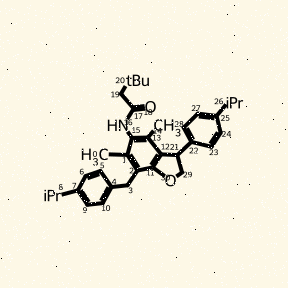 Cc1c(Cc2ccc(C(C)C)cc2)c2c(c(C)c1NC(=O)CC(C)(C)C)C(c1ccc(C(C)C)cc1)CO2